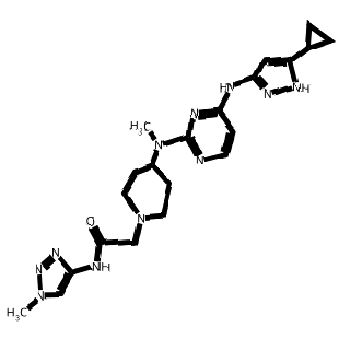 CN(c1nccc(Nc2cc(C3CC3)[nH]n2)n1)C1CCN(CC(=O)Nc2cn(C)nn2)CC1